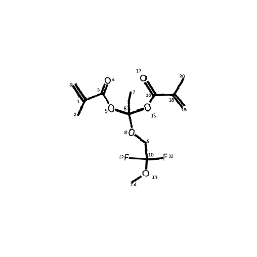 C=C(C)C(=O)OC(C)(OCC(F)(F)OC)OC(=O)C(=C)C